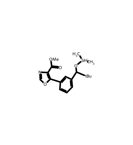 COC(=O)c1ncoc1-c1cccc(C(O[SiH](C)C)C(C)(C)C)c1